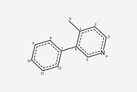 Cc1ccncc1-c1ccccc1